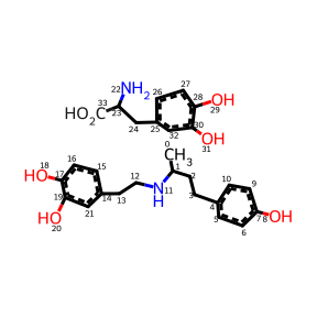 CC(CCc1ccc(O)cc1)NCCc1ccc(O)c(O)c1.NC(Cc1ccc(O)c(O)c1)C(=O)O